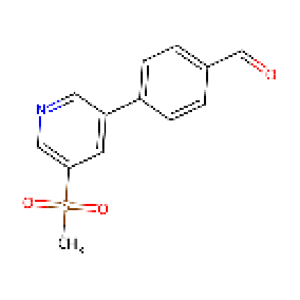 CS(=O)(=O)c1cncc(-c2ccc(C=O)cc2)c1